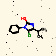 CC(C)c1nc(O)n(-c2ccccc2)c1Cl